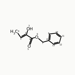 CC=C(O)C(=O)OCc1ccccc1